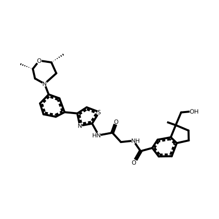 C[C@@H]1CN(c2cccc(-c3csc(NC(=O)CNC(=O)c4ccc5c(c4)C(C)(CO)CC5)n3)c2)C[C@H](C)O1